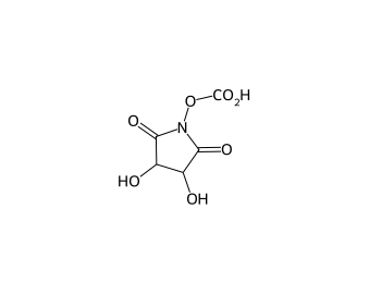 O=C(O)ON1C(=O)C(O)C(O)C1=O